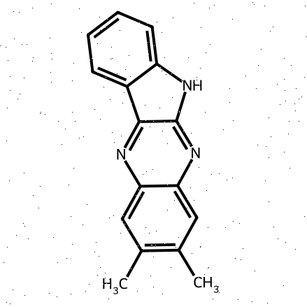 Cc1cc2nc3[nH]c4ccccc4c3nc2cc1C